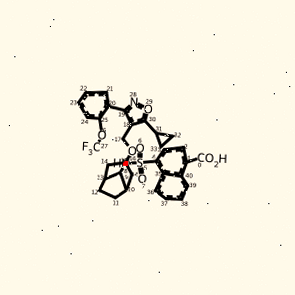 O=C(O)c1ccc(S(=O)(=O)NC2C3CCC2CC(OCc2c(-c4ccccc4OC(F)(F)F)noc2C2CC2)C3)c2ccccc12